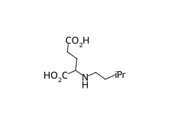 CC(C)CCNC(CCC(=O)O)C(=O)O